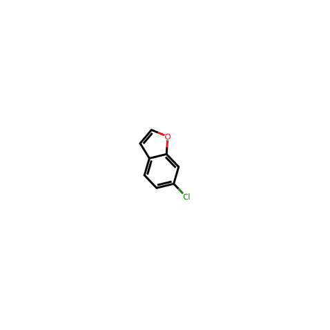 Clc1ccc2ccoc2c1